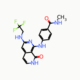 CNC(=O)c1ccc(Nc2nc(NCC(F)(F)F)cc3cc[nH]c(=O)c23)cc1